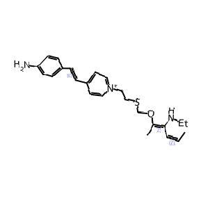 C/C=C\C(NCC)=C(/C)OCSCC[n+]1ccc(/C=C/c2ccc(N)cc2)cc1